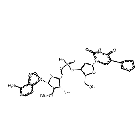 COC1[C@@H](O)[C@@H](COP(=O)(S)OC2C[C@H](n3cc(-c4ccccc4)c(=O)[nH]c3=O)O[C@@H]2CO)O[C@H]1n1cnc2c(N)ncnc21